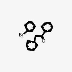 Brc1ccccc1.O=C(Cc1ccccc1)c1ccccc1